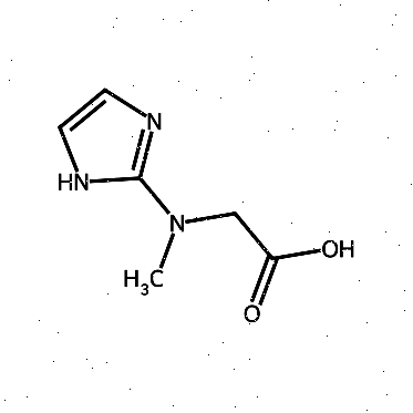 CN(CC(=O)O)c1ncc[nH]1